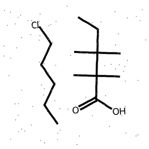 CCC(C)(C)C(C)(C)C(=O)O.CCCCCCl